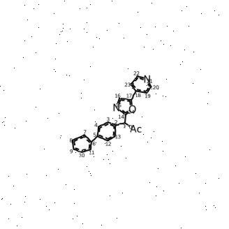 CC(=O)C(c1ccc(-c2ccccc2)cc1)c1ncc(-c2ccncc2)o1